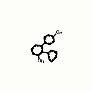 Oc1ccc(-c2[c]ccc(O)c2-c2ccccc2)cc1